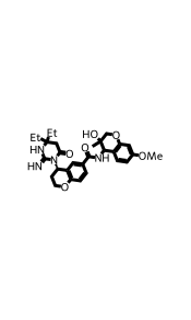 CCC1(CC)CC(=O)N([C@@H]2CCOc3ccc(C(=O)NC4c5ccc(OC)cc5OCC4(C)O)cc32)C(=N)N1